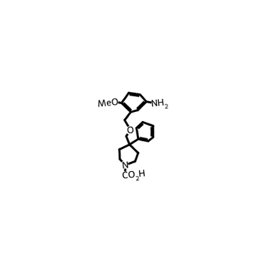 COc1ccc(N)cc1COCC1(c2ccccc2)CCN(C(=O)O)CC1